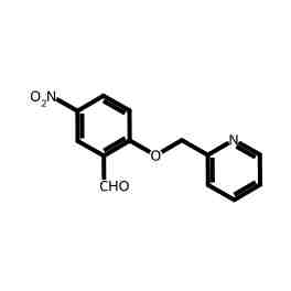 O=Cc1cc([N+](=O)[O-])ccc1OCc1ccccn1